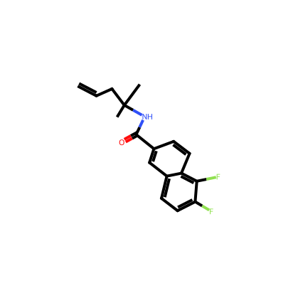 C=CCC(C)(C)NC(=O)c1ccc2c(F)c(F)ccc2c1